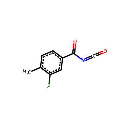 Cc1ccc(C(=O)N=C=O)cc1F